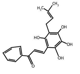 CC(C)=CCc1c(O)c(O)c(O)c(C=CC(=O)c2ccccc2)c1O